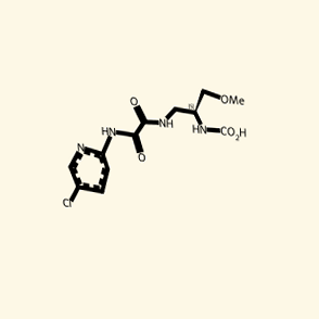 COC[C@H](CNC(=O)C(=O)Nc1ccc(Cl)cn1)NC(=O)O